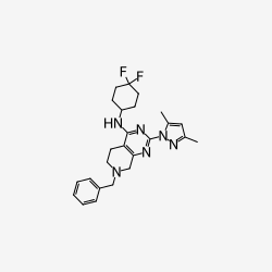 Cc1cc(C)n(-c2nc3c(c(NC4CCC(F)(F)CC4)n2)CCN(Cc2ccccc2)C3)n1